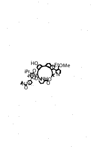 CCn1c(-c2cnccc2COC)c2c3cc(ccc31)-c1cc(O)cc(c1)C[C@H](NC(=O)[C@H](C(C)C)N(C)C(=O)[C@H]1CCN(C(=O)N3CC3)C1)C(=O)N1CCC[C@H](N1)C(=O)OCC(C)(C)C2